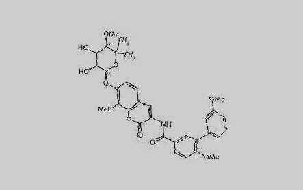 COc1cccc(-c2cc(C(=O)Nc3cc4ccc(O[C@@H]5OC(C)(C)[C@H](OC)C(O)C5O)c(OC)c4oc3=O)ccc2OC)c1